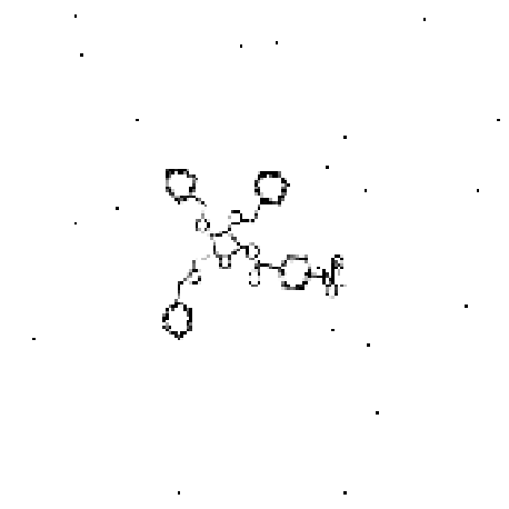 O=C(O[C@H]1O[C@H](COCc2ccccc2)[C@@H](OCc2ccccc2)[C@H]1OCc1ccccc1)c1ccc([N+](=O)[O-])cc1